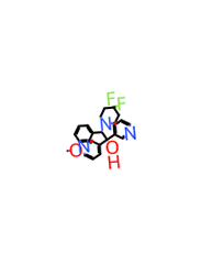 COc1cccc(C(N2CCC(F)(F)CC2)C(O)(c2cccnc2)c2cccnc2)c1